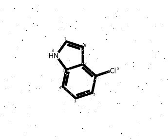 Clc1c[c]cc2[nH]ccc12